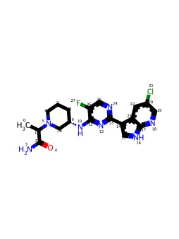 CC(C(N)=O)N1CCC[C@H](Nc2nc(-c3c[nH]c4ncc(Cl)cc34)ncc2F)C1